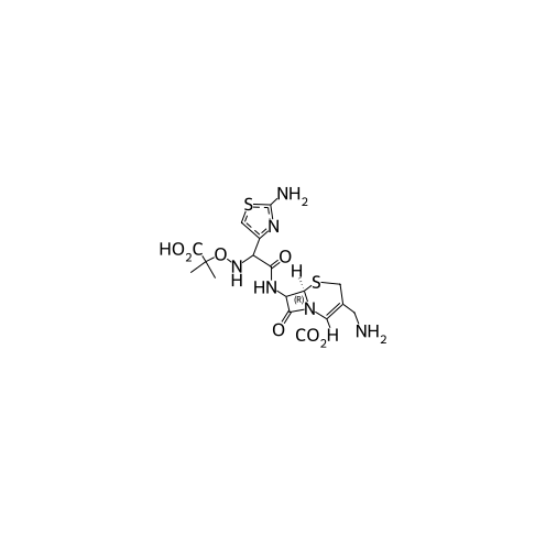 CC(C)(ONC(C(=O)NC1C(=O)N2C(C(=O)O)=C(CN)CS[C@H]12)c1csc(N)n1)C(=O)O